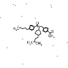 CCCCCc1ccc(C(=O)N(Cc2ccc(C(C)=O)cc2)C2CCN(CCC(C)C)CC2)cc1